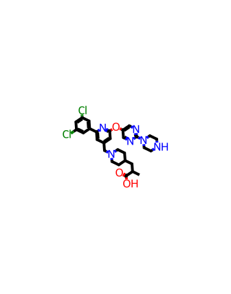 CC(CC1CCN(Cc2cc(Oc3cnc(N4CCNCC4)nc3)nc(-c3cc(Cl)cc(Cl)c3)c2)CC1)C(=O)O